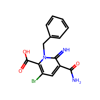 N=c1c(C(N)=O)cc(Br)c(C(=O)O)n1Cc1ccccc1